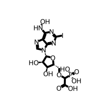 O=C(O)C(OC[C@H]1O[C@@H](n2cnc3c(NO)nc(I)nc32)[C@H](O)[C@@H]1O)P(=O)(O)O